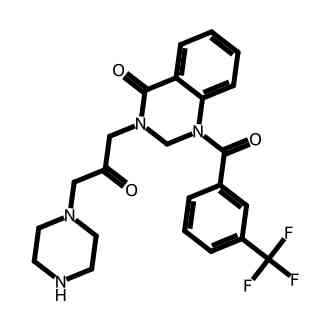 O=C(CN1CCNCC1)CN1CN(C(=O)c2cccc(C(F)(F)F)c2)c2ccccc2C1=O